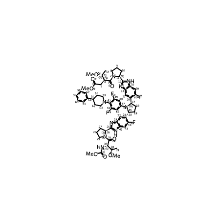 COC(=O)C[C@H](C(=O)N1CCC[C@H]1c1nc2cc([C@H]3CC[C@H](c4cc5nc([C@@H]6CCCN6C(=O)[C@@H](NC(=O)OC)[C@@H](C)OC)[nH]c5cc4F)N3c3cc(F)c(N4CCC(c5ccccc5)CC4)c(F)c3)c(F)cc2[nH]1)[C@@H](C)OC